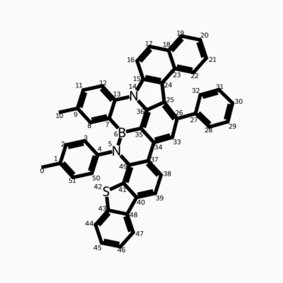 Cc1ccc(N2B3c4cc(C)ccc4-n4c5ccc6ccccc6c5c5c(-c6ccccc6)cc(c3c54)-c3ccc4c(sc5ccccc54)c32)cc1